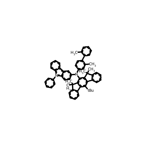 Cc1ccccc1-c1ccc(N(c2ccc3c(c2)c2ccccc2n3-c2ccccc2)c2c3c(c(C(C)(C)C)c4c2C(C)(C)c2ccccc2-4)-c2ccccc2C3(C)C)cc1C